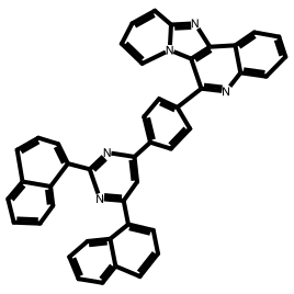 c1ccc2c(-c3cc(-c4ccc(-c5nc6ccccc6c6nc7ccccn7c56)cc4)nc(-c4cccc5ccccc45)n3)cccc2c1